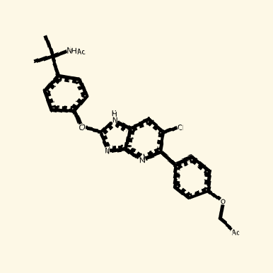 CC(=O)COc1ccc(-c2nc3nc(Oc4ccc(C(C)(C)NC(C)=O)cc4)[nH]c3cc2Cl)cc1